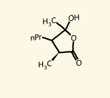 CCCC1[C@H](C)C(=O)OC1(C)O